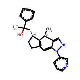 C[C@H]1C2=CNN(c3cccnc3)C2=CC2=C1[C@@H](CC(C)(O)c1ccccc1)CC2